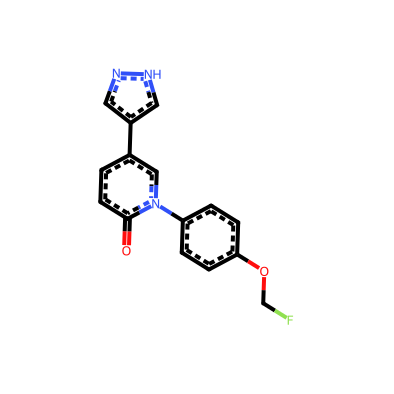 O=c1ccc(-c2cn[nH]c2)cn1-c1ccc(OCF)cc1